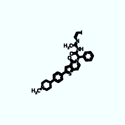 C/C(=N\C=C/I)NC(=O)C(c1ccccc1)n1ccc2sc(-c3ccc(C4CCN(C)CC4)cc3)cc2c1=O